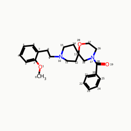 COc1ccccc1CCN1CCC2(CC1)CN(C(=O)c1ccccc1)CCO2